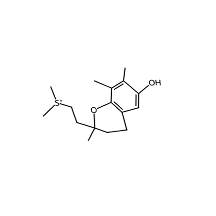 Cc1c(O)cc2c(c1C)OC(C)(CC[S+](C)C)CC2